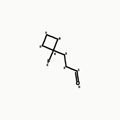 O=CCCC1(F)CCC1